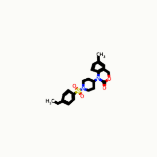 CCc1ccc(S(=O)(=O)N2CCC(N3C(=O)OCc4cc(C)ccc43)CC2)cc1